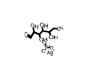 O=CC(O)C(O)C(O)C(O)CO.O=[N+]([O-])[O-].[Ag+]